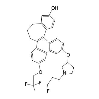 CC(F)(F)COc1ccc(C2=C(c3ccc(OC4CCN(CCCF)C4)cc3)c3ccc(O)cc3CCC2)cc1